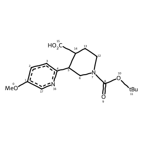 COc1ccc(C2CN(C(=O)OC(C)(C)C)CCC2C(=O)O)nc1